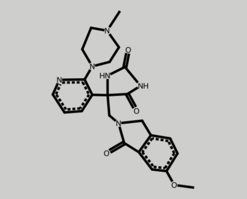 COc1ccc2c(c1)C(=O)N(CC1(c3cccnc3N3CCN(C)CC3)NC(=O)NC1=O)C2